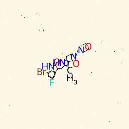 Cc1c(/C=C2\C(=O)Nc3c(Br)cc(F)cc32)[nH]c2c1C(=O)N(CCN1CCOCC1)CC2